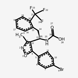 Cc1noc(-c2ccc(Br)cc2)c1[C@@H](Cc1ccccc1C(F)(F)F)NC(=O)O